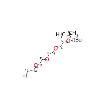 CC(C)(C)[Si](C)(C)OCCOCCOCCOCCI